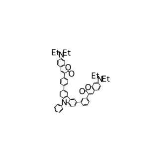 CCN(CC)c1ccc2cc(-c3ccc(-c4ccc5c(c4)c4cc(-c6cccc(-c7cc8ccc(N(CC)CC)cc8oc7=O)c6)ccc4n5-c4ccccc4)cc3)c(=O)oc2c1